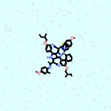 CCC(C)COc1ccc(-c2[nH]/c(=C(C#N)\C(C)=N\c3ccc(OC)cc3C)c3c(-c4ccc(OCC(C)CC)cc4)n(B(c4ccccc4)c4ccccc4)/c(=C(/C#N)c4nc5ccc(OC)cc5s4)c23)cc1